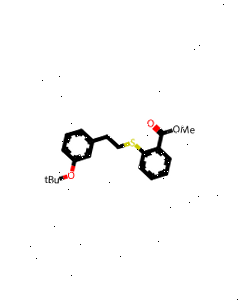 COC(=O)c1ccccc1SCCc1cccc(OC(C)(C)C)c1